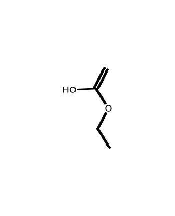 C=C(O)OCC